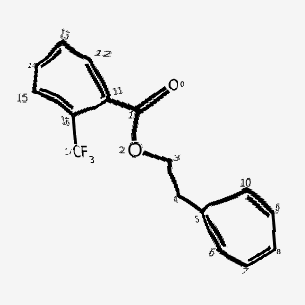 O=C(OCCc1ccccc1)c1ccccc1C(F)(F)F